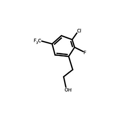 OCCc1cc(C(F)(F)F)cc(Cl)c1F